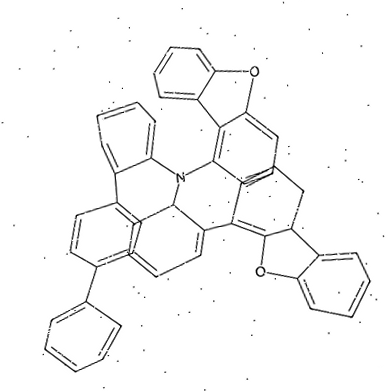 C1=CCC(N(c2ccccc2-c2ccc(-c3ccccc3)cc2)c2cccc3oc4ccccc4c23)C(C2=C3Oc4ccccc4C3CC=C2)=C1